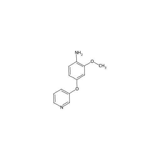 COc1cc(Oc2cccnc2)ccc1N